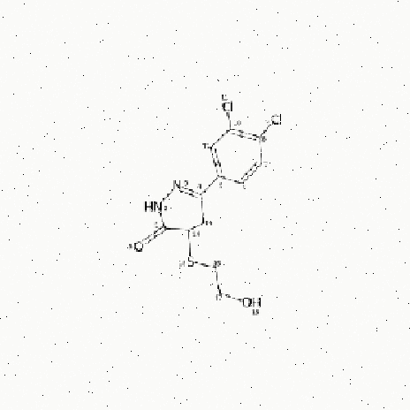 O=C1NN=C(c2ccc(Cl)c(Cl)c2)CC1SCCO